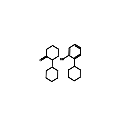 O=C1CCCCC1C1CCCCC1.Oc1ccccc1C1CCCCC1